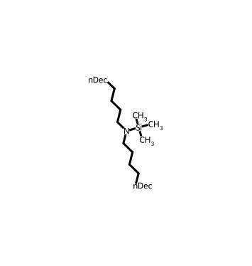 CCCCCCCCCCCCCCN(CCCCCCCCCCCCCC)[Si](C)(C)C